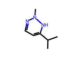 CC(C)C1=CC=NN(C)N1